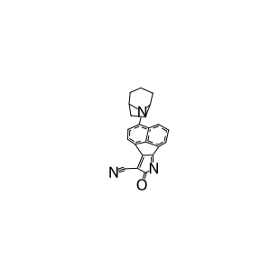 N#CC1=C2C(=NC1=O)c1cccc3c(N4C5CCCC4CC5)ccc2c13